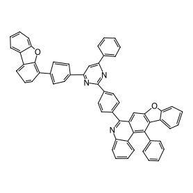 c1ccc(-c2cc(-c3ccc(-c4cccc5c4oc4ccccc45)cc3)nc(-c3ccc(-c4nc5ccccc5c5c(-c6ccccc6)c6c(cc45)oc4ccccc46)cc3)n2)cc1